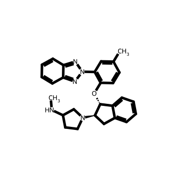 CNC1CCN([C@@H]2Cc3ccccc3[C@H]2Oc2ccc(C)cc2-n2nc3ccccc3n2)C1